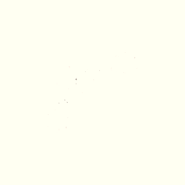 O=C(NCC1CCOCC1)c1ccc(C#Cc2ccccc2F)cc1F